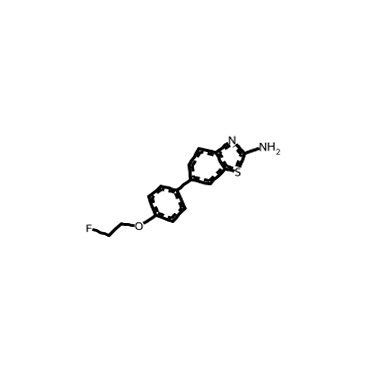 Nc1nc2ccc(-c3ccc(OCCF)cc3)cc2s1